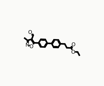 CCOC(=O)CCc1ccc(-c2ccc(-c3onc(C)c3C=O)cc2)cc1